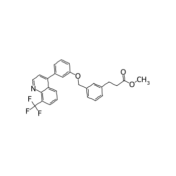 COC(=O)CCc1cccc(COc2cccc(-c3ccnc4c(C(F)(F)F)cccc34)c2)c1